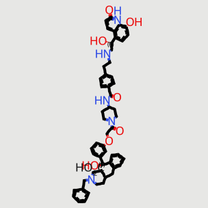 O=C(NC1CCN(C(=O)COc2cccc([C@@](O)(C(=O)O)c3ccccc3CC3CCN(Cc4ccccc4)CC3)c2)CC1)c1ccc(CCNC[C@H](O)c2ccc(O)c3[nH]c(=O)ccc23)cc1